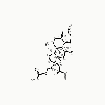 CCC(=O)OCC(=O)[C@]1(OC(=O)CC)CC[C@H]2[C@H]3[C@H]([C@@H](O)C[C@@]21C)[C@@]1(C)CCC(=O)C=C1C[C@H]3Br